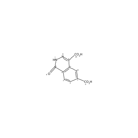 O=C(O)c1ccc2c(=O)[nH]nc(C(=O)O)c2c1